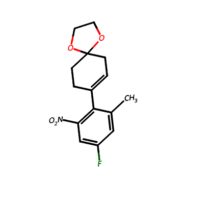 Cc1cc(F)cc([N+](=O)[O-])c1C1=CCC2(CC1)OCCO2